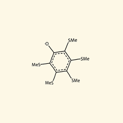 CSc1c([O])c(SC)c(SC)c(SC)c1SC